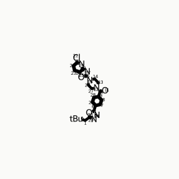 CC(C)(C)Cc1nnc(-c2ccc(C(=O)N3CCN(c4nc5nc(Cl)ccc5o4)CC3)cc2)o1